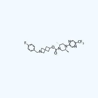 C[C@@H]1CN(c2cnc(C(F)(F)F)cn2)[C@@H](C)CN1C(=O)OC1CC2(C1)CN(Cc1ccc(F)cc1)C2